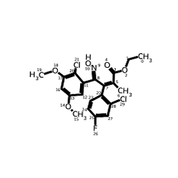 CCOC(=O)C(C)=C(C(=NO)c1cc(OC)cc(OC)c1Cl)c1ccc(F)cc1Cl